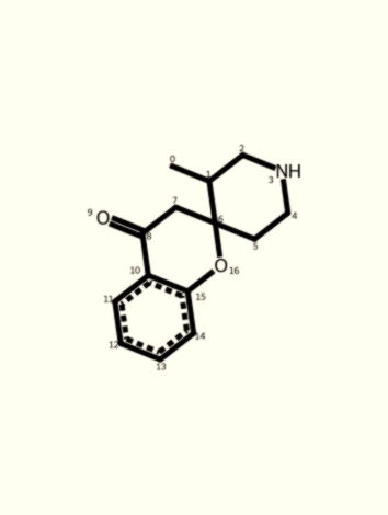 CC1CNCCC12CC(=O)c1ccccc1O2